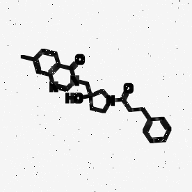 Cc1ccc2c(=O)n(CC3(O)CCN(C(=O)CCc4ccccc4)C3)cnc2c1